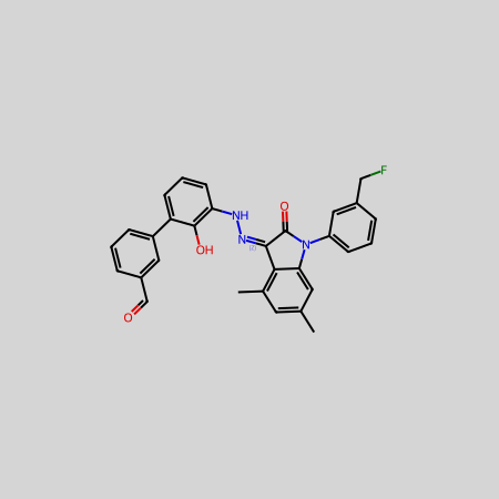 Cc1cc(C)c2c(c1)N(c1cccc(CF)c1)C(=O)/C2=N\Nc1cccc(-c2cccc(C=O)c2)c1O